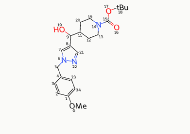 COc1ccc(Cn2cc(C(O)C3CCN(C(=O)OC(C)(C)C)CC3)cn2)cc1